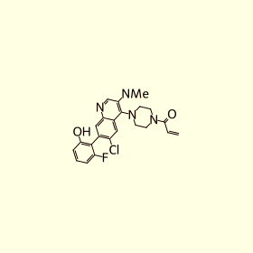 C=CC(=O)N1CCN(c2c(NC)cnc3cc(-c4c(O)cccc4F)c(Cl)cc23)CC1